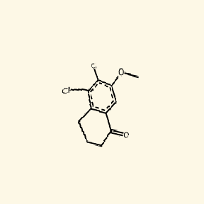 COc1cc2c(c(Cl)c1Cl)CCCC2=O